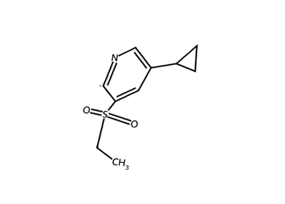 CCS(=O)(=O)c1[c]ncc(C2CC2)c1